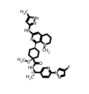 CO[C@]1(C(=O)N[C@@H](C)c2ccc(-n3cc(F)cn3)nc2)CC[C@H](c2nc(Nc3cc(C)[nH]n3)cc3c2N(C)CCC3)CC1